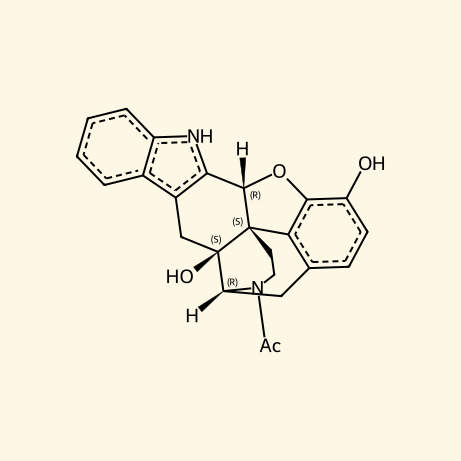 CC(=O)N1CC[C@]23c4c5ccc(O)c4O[C@H]2c2[nH]c4ccccc4c2C[C@@]3(O)[C@H]1C5